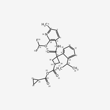 Cc1ccc(NC(=O)C2(c3ccccc3C(C)C)CN(C(=O)OC(=O)C3CC3)C2)c(OC(F)F)n1